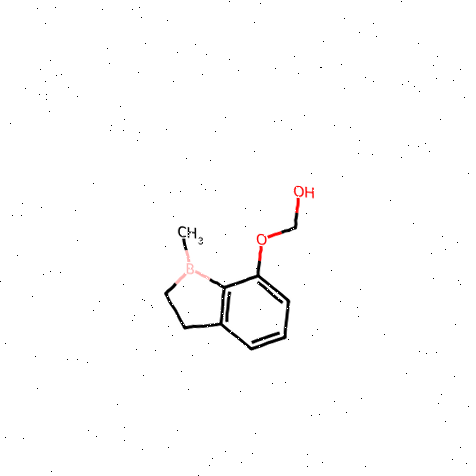 CB1CCc2cccc(OCO)c21